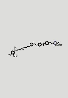 C=Cc1ccc(NCCCCOCCCCN2CCC(CCc3ccc(C(C)(C)c4ccc(CCC(/C=C\N=C)=N/SC)cc4)cc3)C2)cc1CCC